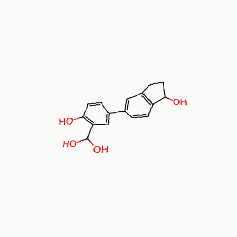 Oc1ccc(-c2ccc3c(c2)CCC3O)cc1C(O)O